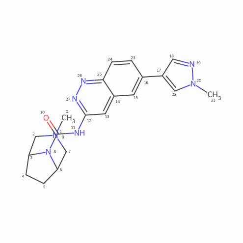 CN1CC2CCC(C1)N2C(=O)Nc1cc2cc(-c3cnn(C)c3)ccc2nn1